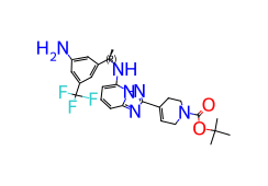 C[C@@H](Nc1cccc2nc(C3=CCN(C(=O)OC(C)(C)C)CC3)nn12)c1cc(N)cc(C(F)(F)F)c1